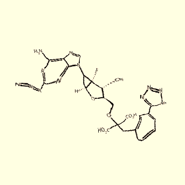 [N-]=[N+]=Nc1nc(N)c2ncn(C3[C@@H]4O[C@H](COC(Cc5cccc(-c6nnn[nH]6)c5)(C(=O)O)C(=O)O)[C@@H](O)[C@]34F)c2n1